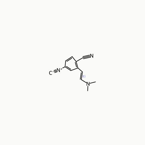 [C-]#[N+]c1ccc(C#N)c(/C=C/N(C)C)c1